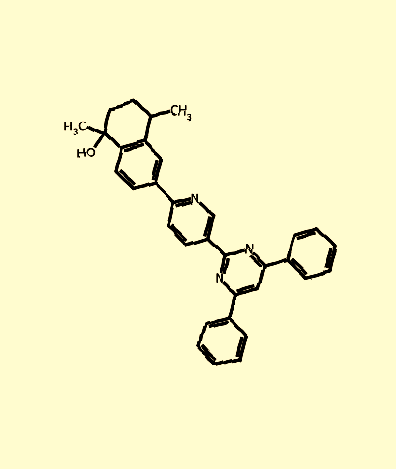 CC1CCC(C)(O)c2ccc(-c3ccc(-c4nc(-c5ccccc5)cc(-c5ccccc5)n4)cn3)cc21